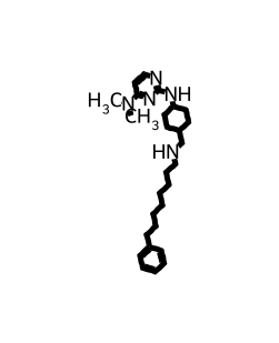 CN(C)c1ccnc(NC2CCC(CNCCCCCCCCc3ccccc3)CC2)n1